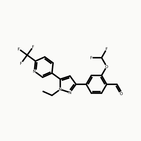 CCn1nc(-c2ccc(C=O)c(OC(F)F)c2)cc1-c1ccc(C(F)(F)F)nc1